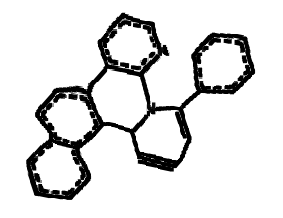 C1#CC2c3c(ccc4ccccc34)-c3cccnc3N2C(c2ccccc2)=C1